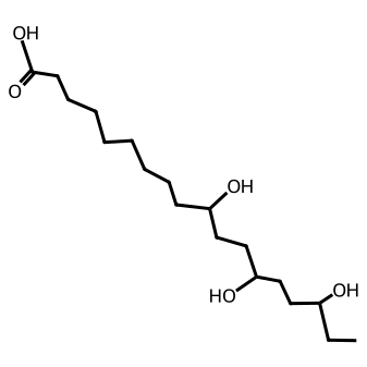 CCC(O)CCC(O)CCC(O)CCCCCCCCC(=O)O